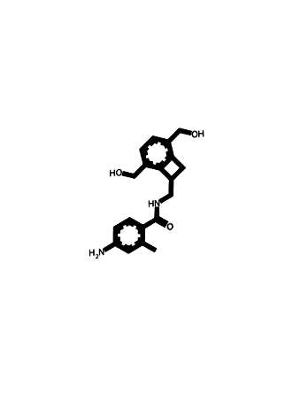 Cc1cc(N)ccc1C(=O)NCC1Cc2c(CO)ccc(CO)c21